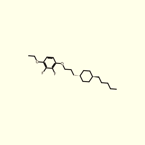 CCCCC[C@H]1CC[C@H](CCCOc2ccc(OCC)c(F)c2F)CC1